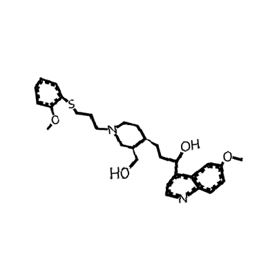 COc1ccc2nccc(C(O)CC[C@@H]3CCN(CCCSc4ccccc4OC)C[C@@H]3CO)c2c1